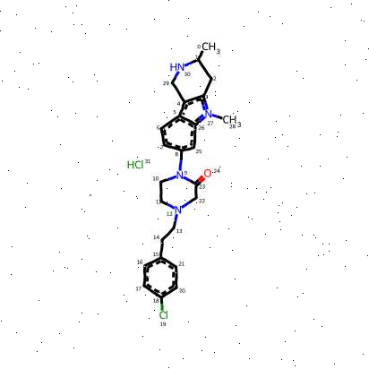 CC1Cc2c(c3ccc(N4CCN(CCc5ccc(Cl)cc5)CC4=O)cc3n2C)CN1.Cl